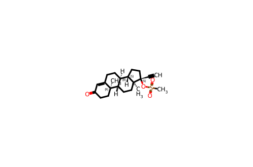 C#C[C@]1(OS(C)(=O)=O)CC[C@H]2[C@@H]3CCC4=CC(=O)CC[C@]4(C)[C@H]3CC[C@@]21C